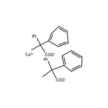 CC(C)C(C)(C(=O)[O-])c1ccccc1.CC(C)C(C)(C(=O)[O-])c1ccccc1.[Ca+2]